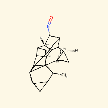 CC1C2CC2C23C4C(N=O)[C@H]5C6C[C@]7(C1C2C67)C5C4[C@H]1C[C@H]13